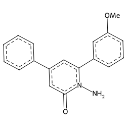 COc1cccc(-c2cc(-c3ccccc3)cc(=O)n2N)c1